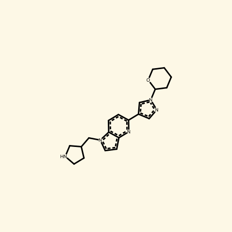 c1nn(C2CCCCO2)cc1-c1ccc2c(ccn2CC2CCNC2)n1